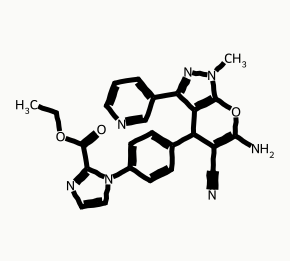 CCOC(=O)c1nccn1-c1ccc(C2C(C#N)=C(N)Oc3c2c(-c2cccnc2)nn3C)cc1